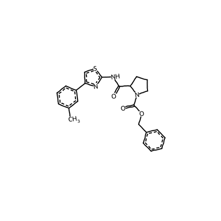 Cc1cccc(-c2csc(NC(=O)C3CCCN3C(=O)OCc3ccccc3)n2)c1